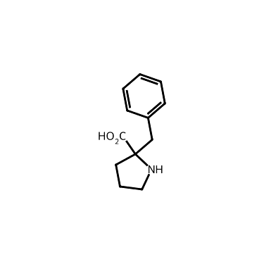 O=C(O)C1(Cc2ccccc2)CCCN1